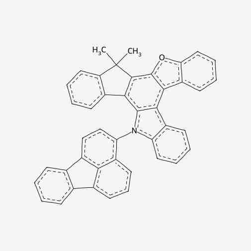 CC1(C)c2ccccc2-c2c1c1oc3ccccc3c1c1c3ccccc3n(-c3ccc4c5c(cccc35)-c3ccccc3-4)c21